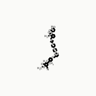 CCOc1c(Cl)cc(C(C)(C)c2ccc(OCc3ccnc(N4CCN(C5CCN(C6CN(Cc7cccc8c7n(C)c(=O)n8C7CCC(=O)NC7=O)C6)CC5)CC4)n3)cc2)cc1C#N